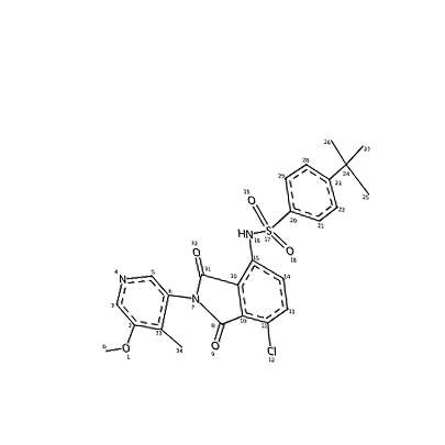 COc1cncc(N2C(=O)c3c(Cl)ccc(NS(=O)(=O)c4ccc(C(C)(C)C)cc4)c3C2=O)c1C